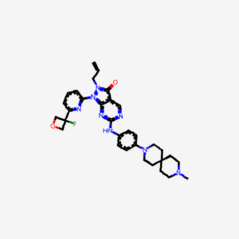 C=CCn1c(=O)c2cnc(Nc3ccc(N4CCC5(CCN(C)CC5)CC4)cc3)nc2n1-c1cccc(C2(F)COC2)n1